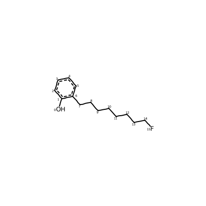 Oc1ccccc1CCCCCCCCF